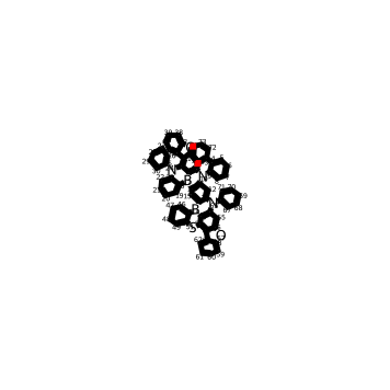 c1ccc(-c2ccccc2N2c3cc4c(cc3B3c5ccccc5N(c5ccccc5)c5c3c2cc2oc3ccccc3c52)B2c3ccccc3Sc3c2c(cc2oc5ccccc5c32)N4c2ccccc2)cc1